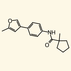 Cc1cc(-c2ccc(NC(=O)C3(C)CCCC3)cc2)co1